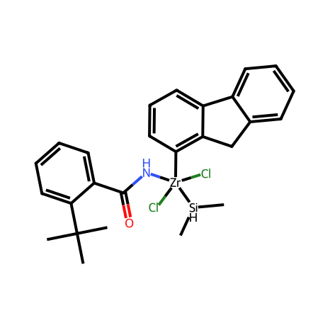 C[SiH](C)[Zr]([Cl])([Cl])([NH]C(=O)c1ccccc1C(C)(C)C)[c]1cccc2c1Cc1ccccc1-2